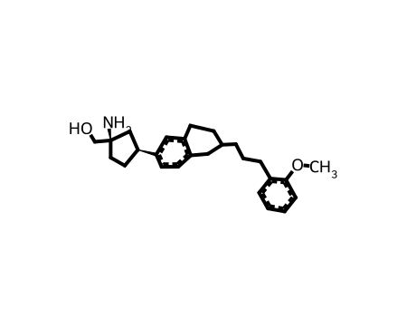 COc1ccccc1CCCC1CCc2cc([C@H]3CC[C@](N)(CO)C3)ccc2C1